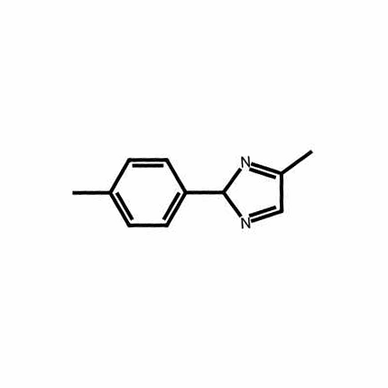 CC1=NC(c2ccc(C)cc2)N=C1